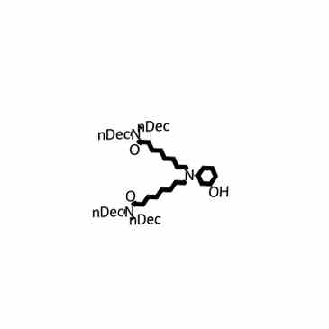 CCCCCCCCCCN(CCCCCCCCCC)C(=O)CCCCCCCN(CCCCCCCC(=O)N(CCCCCCCCCC)CCCCCCCCCC)[C@@H]1CCC[C@H](O)C1